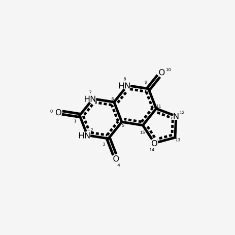 O=c1[nH]c(=O)c2c([nH]1)[nH]c(=O)c1ncoc12